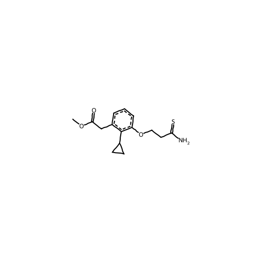 COC(=O)Cc1cccc(OCCC(N)=S)c1C1CC1